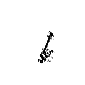 CC(C)(C)[C@@H](NCC(CN)CSC1CC(=O)N(CCC(=O)NCCCOCCOCCOCCCNC(=O)CCN2C(=O)C=CC2=O)C1=O)c1nc(-c2cc(F)ccc2F)cn1Cc1ccccc1.OCCO